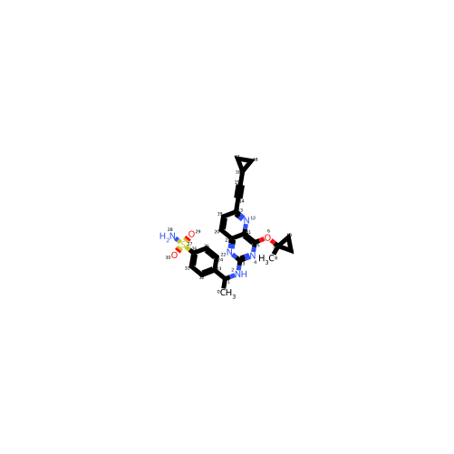 CC(Nc1nc(OC2(C)CC2)c2nc(C#CC3CC3)ccc2n1)c1ccc(S(N)(=O)=O)cc1